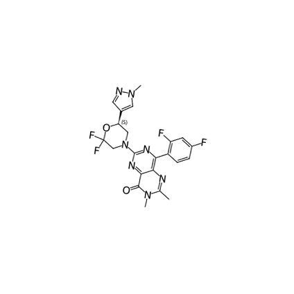 Cc1nc2c(-c3ccc(F)cc3F)nc(N3C[C@H](c4cnn(C)c4)OC(F)(F)C3)nc2c(=O)n1C